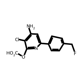 Nc1cc(-c2ccc(CF)cc2)nc(OC(=O)O)c1Cl